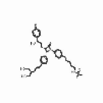 CS(=O)(=O)NCCCCCc1ccc(N2C(=O)[C@H](CC[C@H](O)c3ccc(F)cc3)[C@H]2c2ccc(CCCC(CO)CO)cc2)cc1